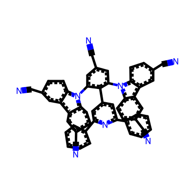 N#Cc1cc(-n2c3ccc(C#N)cc3c3cc(C#N)ccc32)c(-c2cc(-c3ccccc3)nc(-c3ccccc3)c2)c(-n2c3ccc(C#N)cc3c3cc(C#N)ccc32)c1